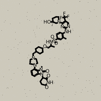 Cc1cc(S(=O)(=O)NC(C)COC2CCC(CN3CCN(c4cccc5c4n(C)c(=O)n5C4CCC(=O)NC4=O)CC3)CC2)ccc1Nc1ncc(C(F)(F)F)c(N2CCC[C@](C)(O)C2)n1